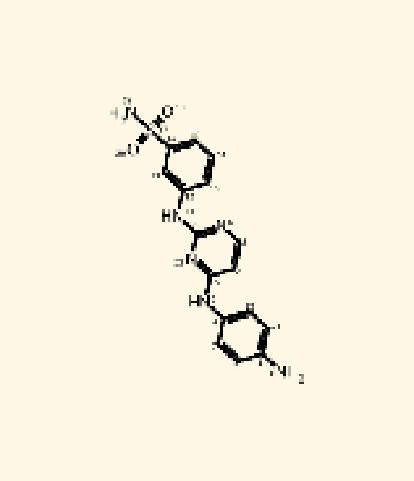 Nc1ccc(Nc2ccnc(Nc3cccc(S(N)(=O)=O)c3)n2)cc1